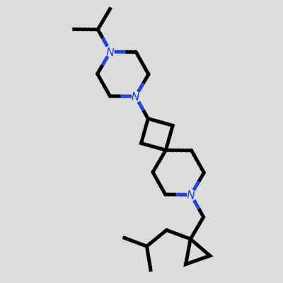 CC(C)CC1(CN2CCC3(CC2)CC(N2CCN(C(C)C)CC2)C3)CC1